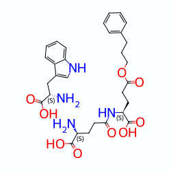 N[C@@H](CCC(=O)N[C@@H](CCC(=O)OCCCc1ccccc1)C(=O)O)C(=O)O.N[C@@H](Cc1c[nH]c2ccccc12)C(=O)O